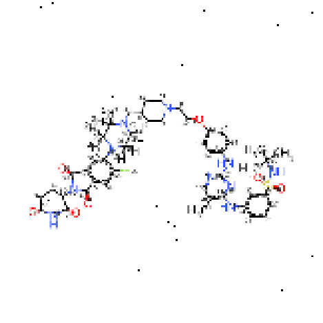 [2H]C1([2H])N(CC2CCN(CCOc3ccc(Nc4ncc(C)c(Nc5cccc(S(=O)(=O)NC(C)(C)C)c5)n4)cc3)CC2)C([2H])([2H])C([2H])([2H])N(c2cc3c(cc2F)C(=O)N(C2CCC(=O)NC2=O)C3=O)C1([2H])[2H]